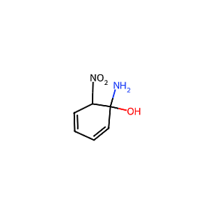 NC1(O)C=CC=CC1[N+](=O)[O-]